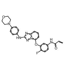 C=CC(=O)Nc1ccc(F)c(Oc2cccc3nc(Nc4ccc(N5CCOCC5)cc4)nn23)c1